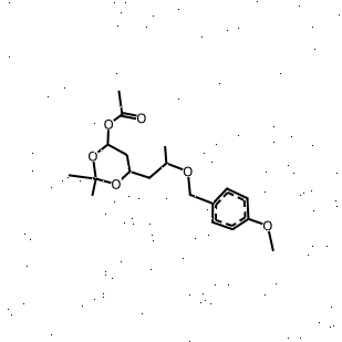 COc1ccc(COC(C)CC2CC(OC(C)=O)OC(C)(C)O2)cc1